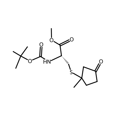 COC(=O)[C@H](CSC1(C)CCC(=O)C1)NC(=O)OC(C)(C)C